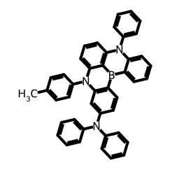 Cc1ccc(N2c3cc(N(c4ccccc4)c4ccccc4)ccc3B3c4ccccc4N(c4ccccc4)c4cccc2c43)cc1